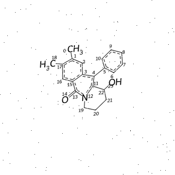 Cc1cc2c(-c3ccccc3)c3n(c(=O)c2cc1C)CCCC3O